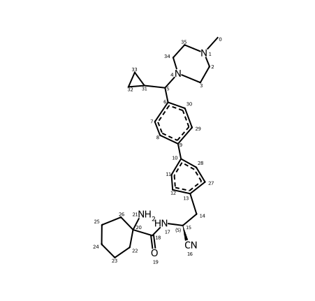 CN1CCN(C(c2ccc(-c3ccc(C[C@@H](C#N)NC(=O)C4(N)CCCCC4)cc3)cc2)C2CC2)CC1